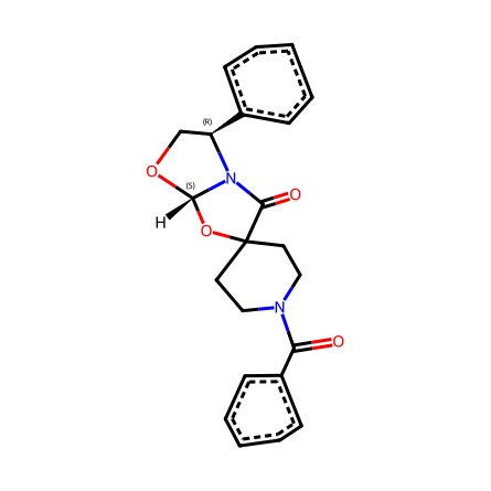 O=C(c1ccccc1)N1CCC2(CC1)O[C@@H]1OC[C@@H](c3ccccc3)N1C2=O